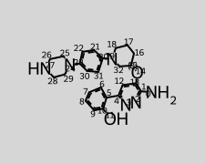 Nc1nnc(-c2ccccc2O)cc1O[C@H]1CCCN(c2ccc(N3CCNCC3)cc2)C1